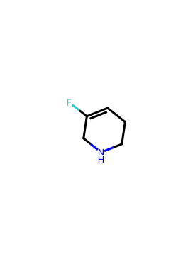 FC1=CCCNC1